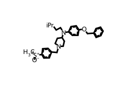 CC(C)CCN(c1ccc(OCc2ccccc2)cc1)C1CCN(Cc2ccc([S+](C)[O-])cc2)CC1